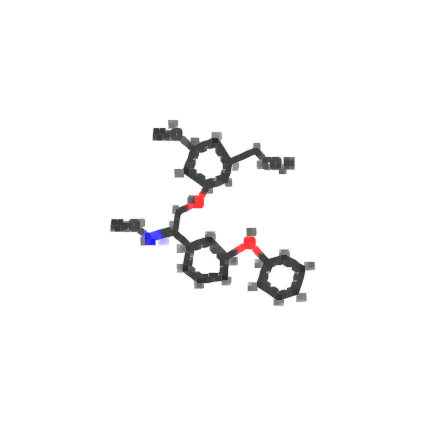 CO/N=C(\COc1cc(CC(=O)O)cc(OC)c1)c1cccc(Oc2ccccc2)c1